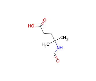 CC(C)(CCC(=O)O)NC=O